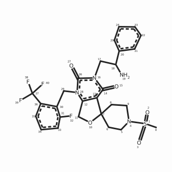 CS(=O)(=O)N1CCC2(CC1)OCc1c2c(=O)n(CC(N)c2ccccc2)c(=O)n1Cc1c(F)cccc1C(F)(F)F